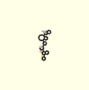 C=C1C=CCC/C1=C/C(=C)c1ccccccc(C2=CC(C/C=c3\c(=C/C)oc4c5sc6ccccc6c5c5ccccc5c34)=CCC2)c2ccccc12